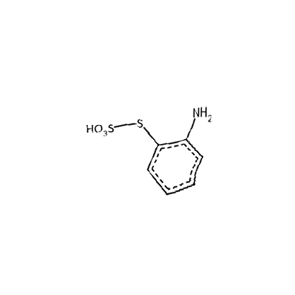 Nc1ccccc1SS(=O)(=O)O